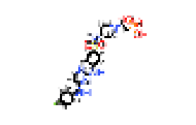 CN(C1CCN(CCP(=O)(O)O)CC1)S(=O)(=O)c1ccc(Nc2nccc(Nc3ccc(F)cc3)n2)cc1